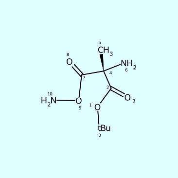 CC(C)(C)OC(=O)[C@@](C)(N)C(=O)ON